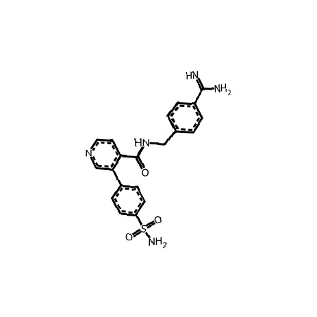 N=C(N)c1ccc(CNC(=O)c2ccncc2-c2ccc(S(N)(=O)=O)cc2)cc1